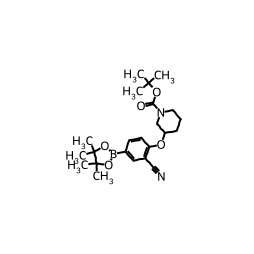 CC(C)(C)OC(=O)N1CCCC(Oc2ccc(B3OC(C)(C)C(C)(C)O3)cc2C#N)C1